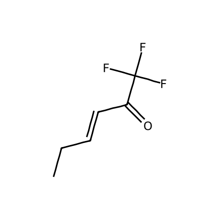 CCC=CC(=O)C(F)(F)F